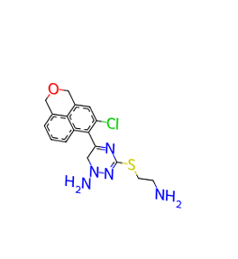 NCCSC1=NN(N)CC(c2c(Cl)cc3c4c(cccc24)COC3)=N1